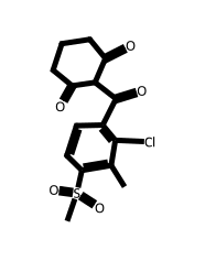 Cc1c(S(C)(=O)=O)ccc(C(=O)C2C(=O)CCCC2=O)c1Cl